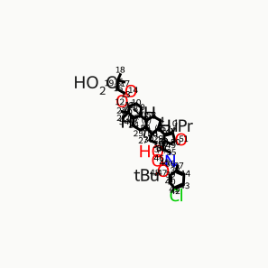 CC(C)C1=C2[C@H]3CC[C@@H]4[C@@]5(C)CC[C@H](OC(=O)CC(C)(C)C(=O)O)C(C)(C)[C@@H]5CC[C@@]4(C)[C@]3(C)CC[C@@]2([C@@H](O)CN(Cc2ccc(Cl)cc2)C(=O)OC(C)(C)C)CC1=O